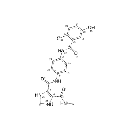 CNC(=O)C1=C(C(=O)Nc2ccc(NC(=O)c3cc(O)ccc3Cl)cc2)NCN1